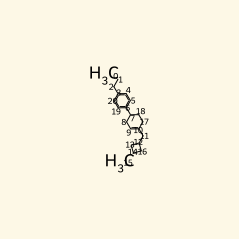 CCCc1ccc(C2CC=C(CC3CC(C)C3)CC2)cc1